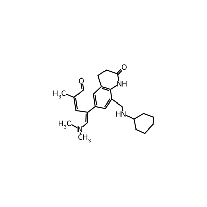 C/C(C=O)=C/C(=C\N(C)C)c1cc2c(c(CNC3CCCCC3)c1)NC(=O)CC2